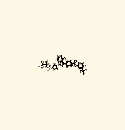 CC(C)(NC(=O)[C@H]1CC[C@@H](c2nc(-c3ccc(C(=O)Nc4cc(C(F)(F)F)ccn4)cc3)c3c(N)nccn23)C1)C(=O)O